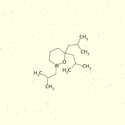 CC(C)[CH2][Al]1[CH2]CCC(CC(C)C)(CC(C)C)[O]1